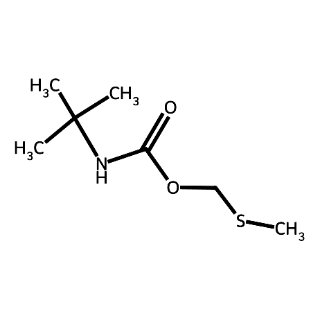 CSCOC(=O)NC(C)(C)C